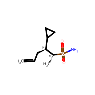 C=CC[C@@H](C1CC1)[C@@H](C)S(N)(=O)=O